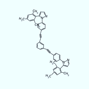 Cc1cc(C)c(-c2ccnn2-c2ccc(C#Cc3cccc(C#Cc4ccc(-n5nccc5-c5c(C)cc(C)cc5C)cc4)c3)cc2)c(C)c1